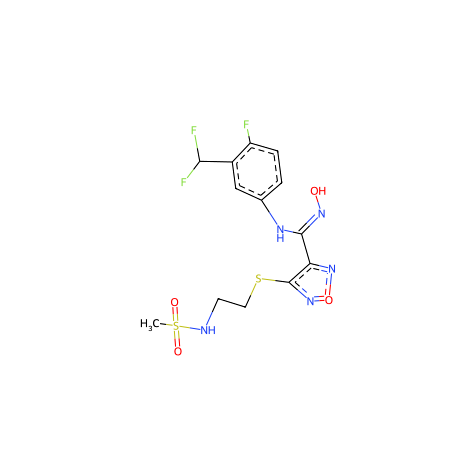 CS(=O)(=O)NCCSc1nonc1/C(=N/O)Nc1ccc(F)c(C(F)F)c1